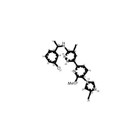 COc1nc(-c2cc(C)c(NC(C)c3cccc(Cl)c3)nn2)ccc1-n1cnc(C)c1